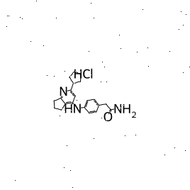 Cl.NC(=O)Cc1ccc(Nc2cc(C3CCCC3)nc3c2CCC3)cc1